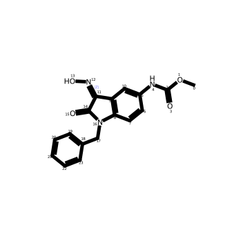 COC(=O)Nc1ccc2c(c1)/C(=N/O)C(=O)N2Cc1ccccc1